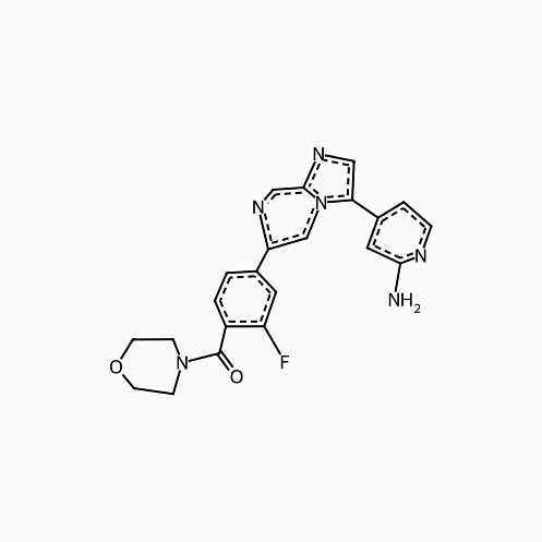 Nc1cc(-c2cnc3cnc(-c4ccc(C(=O)N5CCOCC5)c(F)c4)cn23)ccn1